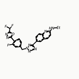 CCNc1ccc2cc(-c3nnn(Cc4ccc(-c5nnc(C(F)F)o5)c(F)c4)n3)ccc2n1